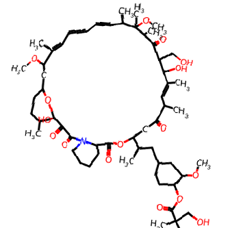 COC1CC2CCC(C)C(O)(O2)C(=O)C(=O)N2CCCCC2C(=O)OC(C(C)CC2CCC(OC(=O)C(C)(CO)CO)C(OC)C2)CC(=O)C(C)/C=C(\C)C(O)C(CO)C(=O)C(C)C(C)(OC)C(C)/C=C/C=C/C=C/1C